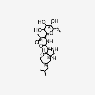 CSC1O[C@H]([C@H](NC(=O)[C@H]2NC[C@@H]3C[C@@H](CC(C)C)CCO[C@H]32)[C@H](C)Cl)C(O)C(O)[C@H]1O